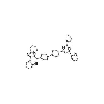 C1=Cn2c(nc3c4ccccc4nc(-c4ccc(-c5ccc(-c6cc(-c7ccccn7)nc(-c7ccccc7)n6)cc5)cc4)c32)CC1